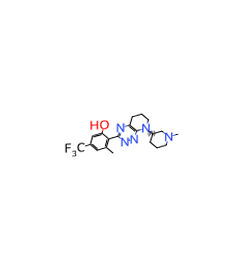 Cc1cc(C(F)(F)F)cc(O)c1-c1nnc2c(n1)CCCN2[C@@H]1CCCN(C)C1